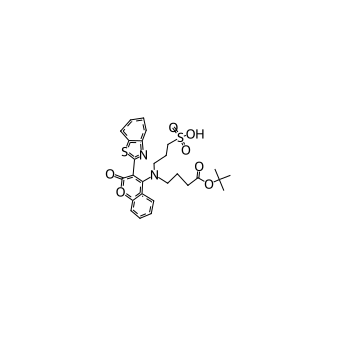 CC(C)(C)OC(=O)CCCN(CCCS(=O)(=O)O)c1c(-c2nc3ccccc3s2)c(=O)oc2ccccc12